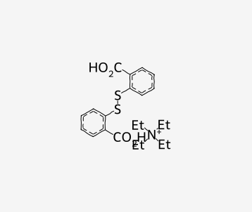 CC[N+](CC)(CC)CC.O=C(O)c1ccccc1SSc1ccccc1C(=O)O